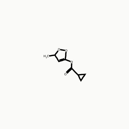 CC1C=C(OC(=O)C2CC2)OO1